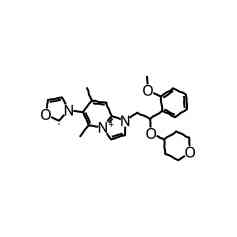 COc1ccccc1C(Cn1cc[n+]2c(C)c(N3[CH]OC=C3)c(C)cc12)OC1CCOCC1